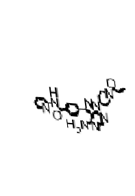 C=CC(=O)N1CCC(n2nc(-c3ccc(C(=O)Nc4ccccn4)cc3)c3c(N)ncnc32)CC1